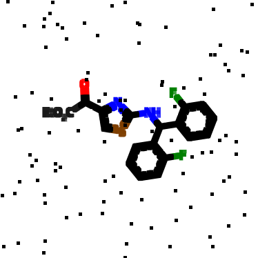 CCOC(=O)C(=O)c1csc(NC(c2ccccc2F)c2ccccc2F)n1